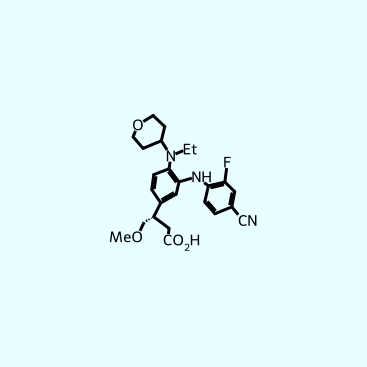 CCN(c1ccc([C@@H](COC)CC(=O)O)cc1Nc1ccc(C#N)cc1F)C1CCOCC1